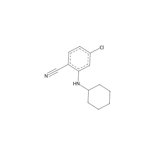 N#Cc1ccc(Cl)cc1NC1CCCCC1